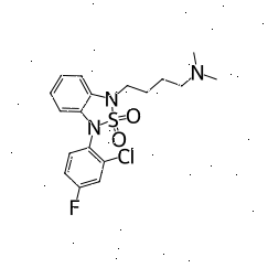 CN(C)CCCCN1c2ccccc2N(c2ccc(F)cc2Cl)S1(=O)=O